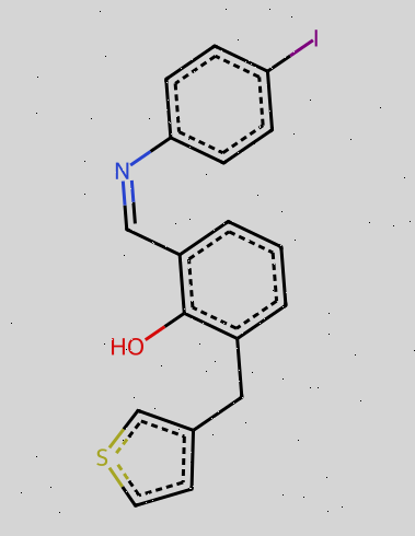 Oc1c(/C=N\c2ccc(I)cc2)cccc1Cc1ccsc1